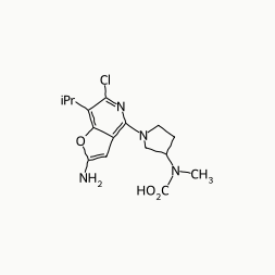 CC(C)c1c(Cl)nc(N2CCC(N(C)C(=O)O)C2)c2cc(N)oc12